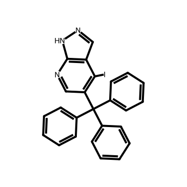 Ic1c(C(c2ccccc2)(c2ccccc2)c2ccccc2)cnc2[nH]ncc12